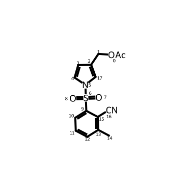 CC(=O)OCc1ccn(S(=O)(=O)c2cccc(C)c2C#N)c1